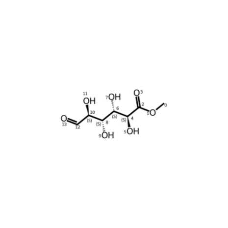 COC(=O)[C@@H](O)[C@@H](O)[C@H](O)[C@H](O)C=O